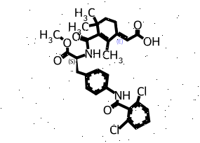 COC(=O)[C@H](Cc1ccc(NC(=O)c2c(Cl)cccc2Cl)cc1)NC(=O)C1=C(C)/C(=C/C(=O)O)CCC1(C)C